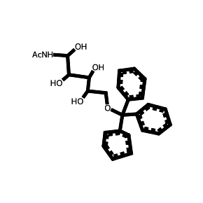 CC(=O)NC(O)C(O)C(O)C(O)COC(c1ccccc1)(c1ccccc1)c1ccccc1